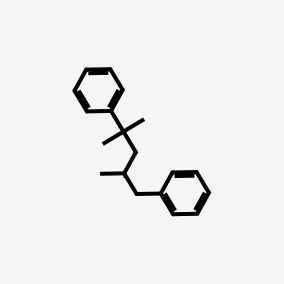 C[C](Cc1ccccc1)CC(C)(C)c1ccccc1